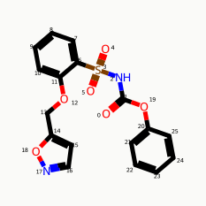 O=C(NS(=O)(=O)c1ccccc1OCc1ccno1)Oc1ccccc1